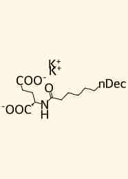 CCCCCCCCCCCCCCCC(=O)N[C@H](CCC(=O)[O-])C(=O)[O-].[K+].[K+]